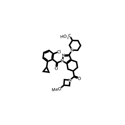 COC1CN(C(=O)C2CCc3c(N4CCCC(C(=O)O)C4)nn(C(=O)c4c(Cl)cccc4C4CC4)c3C2)C1